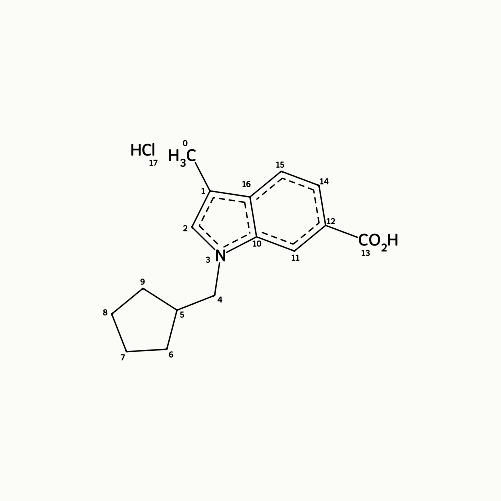 Cc1cn(CC2CCCC2)c2cc(C(=O)O)ccc12.Cl